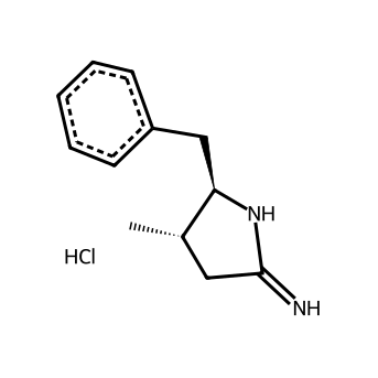 C[C@H]1CC(=N)N[C@@H]1Cc1ccccc1.Cl